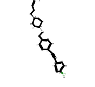 C=CCC[C@H]1CC[C@H](CCc2ccc(C#Cc3ccc(Cl)cc3)cc2)CC1